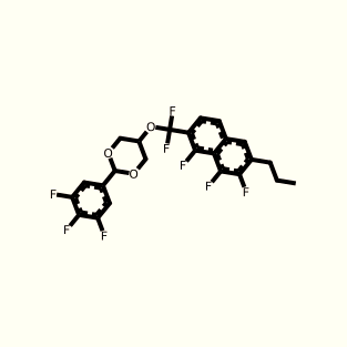 CCCc1cc2ccc(C(F)(F)OC3COC(c4cc(F)c(F)c(F)c4)OC3)c(F)c2c(F)c1F